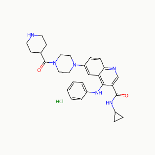 Cl.O=C(NC1CC1)c1cnc2ccc(N3CCN(C(=O)C4CCNCC4)CC3)cc2c1Nc1ccccc1